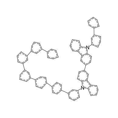 c1ccc(-c2cccc(-c3cccc(-c4cccc(-c5ccc(-c6ccc(-c7cccc(-n8c9ccccc9c9cc(-c%10ccc%11c(c%10)c%10ccccc%10n%11-c%10cccc(-c%11ccccc%11)c%10)ccc98)c7)cc6)cc5)c4)c3)c2)cc1